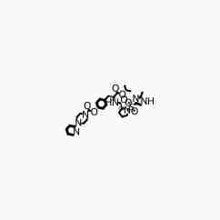 Cc1nc(S(=O)(=O)N2CCC[C@H]2C(=O)N[C@@H](Cc2ccc(OC(=O)N3CCN(c4ccccn4)CC3)cc2)C(=O)OC(C)C)c[nH]1